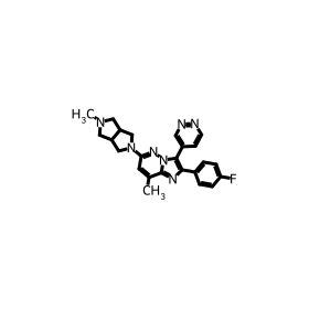 Cc1cc(N2CC3CN(C)CC3C2)nn2c(-c3ccnnc3)c(-c3ccc(F)cc3)nc12